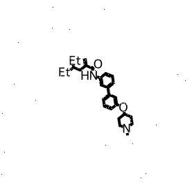 C=C(CC(CC)CC)C(=O)Nc1cccc(-c2cccc(OC3CCN(C)CC3)c2)c1